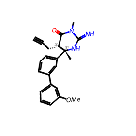 C#CC[C@@H]1C(=O)N(C)C(=N)N[C@]1(C)c1cccc(-c2cccc(OC)c2)c1